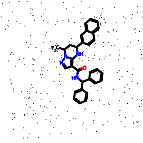 O=C(NC(c1ccccc1)c1ccccc1)c1cnn2c1NC(c1ccc3ccccc3c1)CC2C(F)(F)F